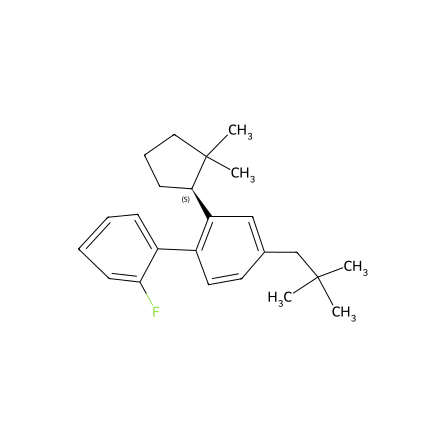 CC(C)(C)Cc1ccc(-c2ccccc2F)c([C@H]2CCCC2(C)C)c1